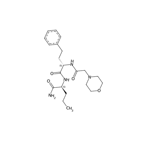 CCC[C@H](NC(=O)[C@H](CCc1ccccc1)NC(=O)CN1CCOCC1)C(N)=O